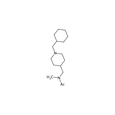 CC(=O)N(C)CC1CCN(CC2CCCCC2)CC1